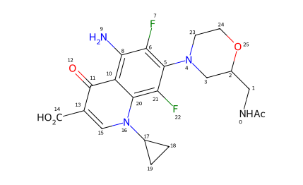 CC(=O)NCC1CN(c2c(F)c(N)c3c(=O)c(C(=O)O)cn(C4CC4)c3c2F)CCO1